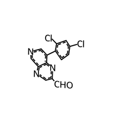 O=Cc1cnc2cncc(-c3ccc(Cl)cc3Cl)c2n1